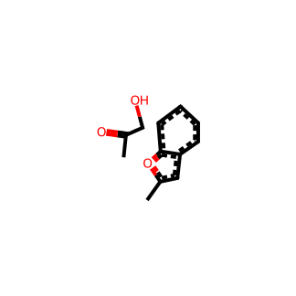 CC(=O)CO.Cc1cc2ccccc2o1